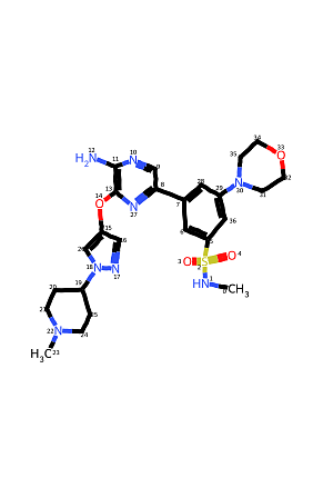 CNS(=O)(=O)c1cc(-c2cnc(N)c(Oc3cnn(C4CCN(C)CC4)c3)n2)cc(N2CCOCC2)c1